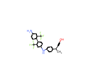 CC(C#CO)c1ccc(Nc2ccc(-c3ccc(N)cc3C(F)(F)F)c(C(F)(F)F)c2)cc1